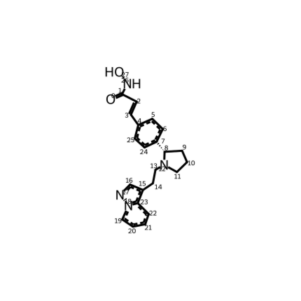 O=C(C=Cc1ccc([C@@H]2CCCN2CCc2cnn3ccccc23)cc1)NO